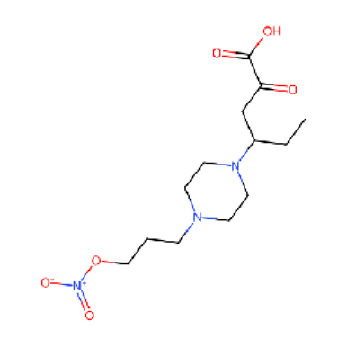 CCC(CC(=O)C(=O)O)N1CCN(CCCO[N+](=O)[O-])CC1